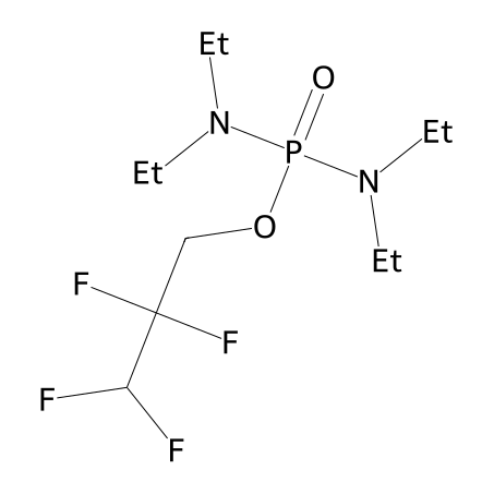 CCN(CC)P(=O)(OCC(F)(F)C(F)F)N(CC)CC